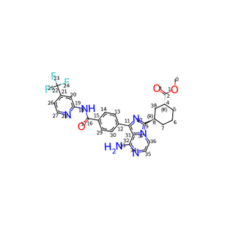 COC(=O)[C@@H]1CCC[C@@H](c2nc(-c3ccc(C(=O)Nc4cc(C(F)(F)F)ccn4)cc3)c3c(N)nccn23)C1